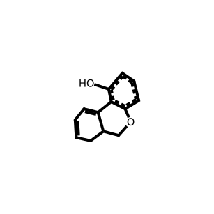 Oc1cccc2c1C1=CC=CCC1CO2